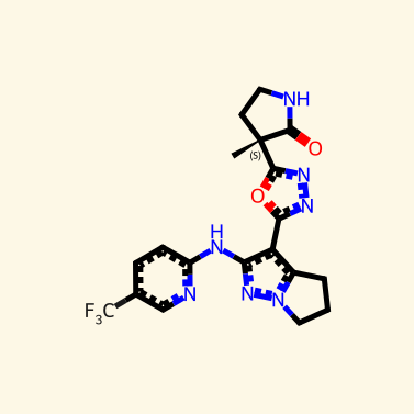 C[C@@]1(c2nnc(-c3c(Nc4ccc(C(F)(F)F)cn4)nn4c3CCC4)o2)CCNC1=O